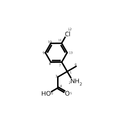 CC(N)(CC(=O)O)c1cccc(Cl)c1